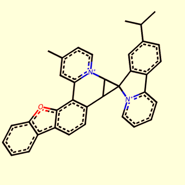 Cc1cc[n+]2c(c1)-c1c(ccc3c1oc1ccccc13)C1C2C12c1cc(C(C)C)ccc1-c1cccc[n+]12